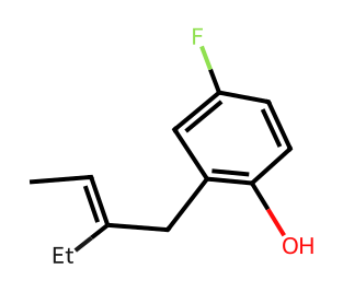 CC=C(CC)Cc1cc(F)ccc1O